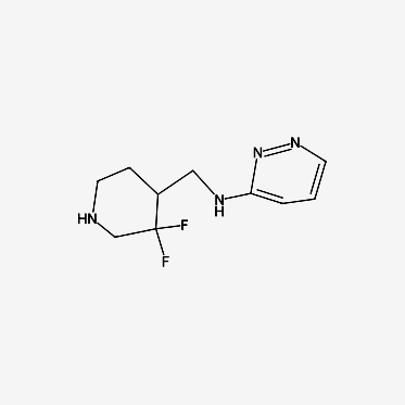 FC1(F)CNCCC1CNc1cccnn1